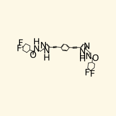 O=C(NCc1ncc(C#Cc2ccc(C#Cc3cnc(CNC(=O)C4CCC(F)(F)CC4)[nH]3)cc2)[nH]1)C1CCC(F)(F)CC1